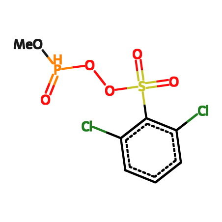 CO[PH](=O)OOS(=O)(=O)c1c(Cl)cccc1Cl